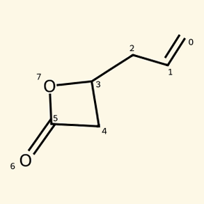 C=CCC1CC(=O)O1